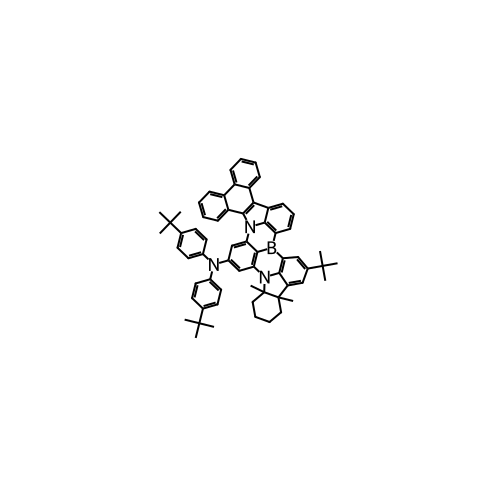 CC(C)(C)c1ccc(N(c2ccc(C(C)(C)C)cc2)c2cc3c4c(c2)-n2c5c(cccc5c5c6ccccc6c6ccccc6c52)B4c2cc(C(C)(C)C)cc4c2N3C2(C)CCCCC42C)cc1